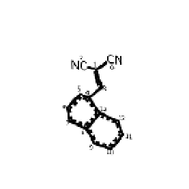 N#CC(C#N)=Cc1cccc2ccccc12